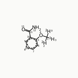 [2H]C([2H])([2H])Oc1ccncc1C(N)=O